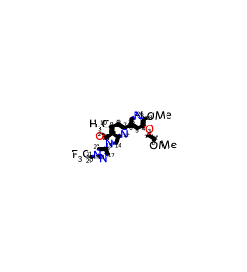 COCCOc1cc(-c2cc(C)c3c(n2)CN(c2cnn(CC(F)(F)F)c2)C3=O)cnc1OC